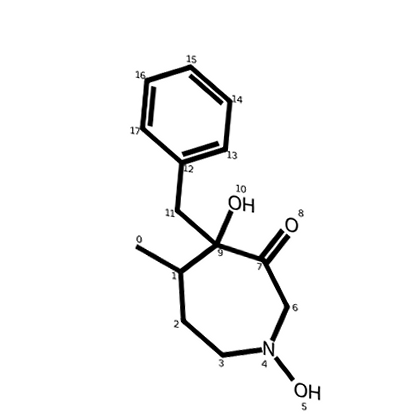 CC1CCN(O)CC(=O)C1(O)Cc1ccccc1